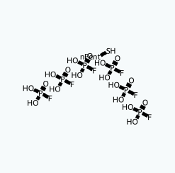 CCCCCS.O=P(O)(O)F.O=P(O)(O)F.O=P(O)(O)F.O=P(O)(O)F.O=P(O)(O)F.O=P(O)(O)F